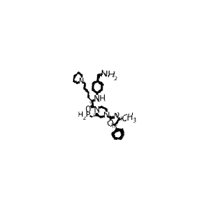 C[C@@H]1N=C(N2CCN(C(=O)[C@@H](CCCCN3CCCCC3)NC3CCC(CN)CC3)[C@H](CP)C2)O[C@H]1c1ccccc1